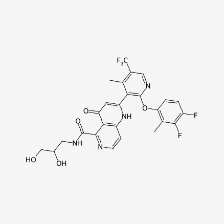 Cc1c(Oc2ncc(C(F)(F)F)c(C)c2-c2cc(=O)c3c(C(=O)NCC(O)CO)nccc3[nH]2)ccc(F)c1F